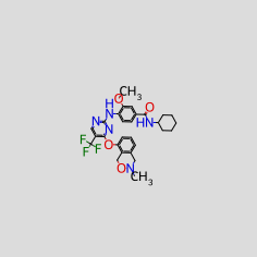 COc1cc(C(=O)NC2CCCCC2)ccc1Nc1ncc(C(F)(F)F)c(Oc2cccc3c2CON(C)C3)n1